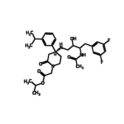 CC(=O)NC(Cc1cc(F)cc(F)c1)C(O)CN[C@@]1(c2cccc(C(C)C)c2)CCN(CC(=O)OC(C)C)C(=O)C1